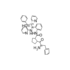 N[C@@H](Cc1ccccc1)C(=O)C1CCCC1C(=O)Nc1ccccc1[C@H](Nc1ccccn1)[C@@H](c1ccccn1)[C@@H](O)c1ccccc1